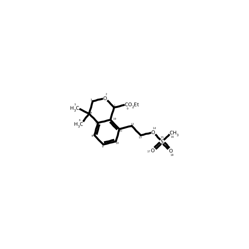 CCOC(=O)C1OCC(C)(C)c2cccc(CCOS(C)(=O)=O)c21